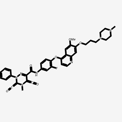 COc1cc2c(Oc3ccc(NC(=O)C4=NN(c5ccc(C)cc5)C(=C=O)N(C)C4=C=O)cc3F)ccnc2cc1OCCCN1CCN(C)CC1